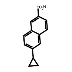 O=C(O)c1ccc2cc(C3CC3)ccc2c1